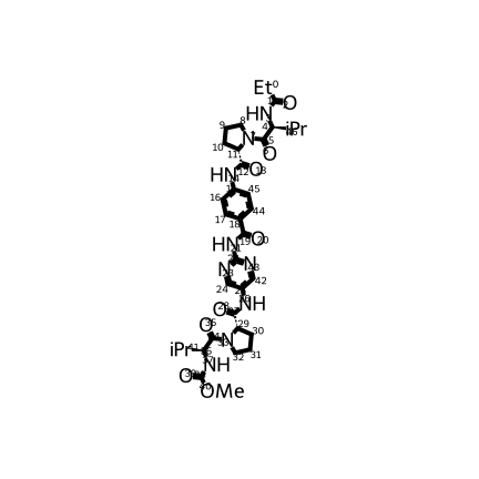 CCC(=O)N[C@H](C(=O)N1CCC[C@H]1C(=O)Nc1ccc(C(=O)Nc2ncc(NC(=O)[C@@H]3CCCN3C(=O)[C@@H](NC(=O)OC)C(C)C)cn2)cc1)C(C)C